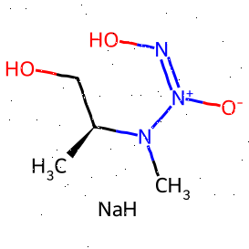 C[C@@H](CO)N(C)/[N+]([O-])=N\O.[NaH]